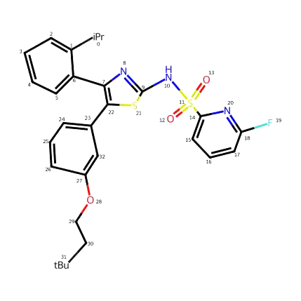 CC(C)c1ccccc1-c1nc(NS(=O)(=O)c2cccc(F)n2)sc1-c1cccc(OCCC(C)(C)C)c1